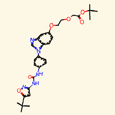 CC(C)(C)OC(=O)COCCOc1ccc2c(c1)ncn2-c1ccc(NC(=O)Nc2cc(C(C)(C)C)on2)cc1